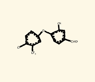 N#Cc1cc(C=O)ccc1Oc1ccc(Cl)c(C(F)(F)F)c1